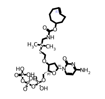 CS(C)(CNC(=O)OC1CC/C=C/CCC1)SCOC1C[C@H](n2ccc(N)nc2=O)O[C@@H]1COP(=O)(O)OP(=O)(O)OP(=O)(O)O